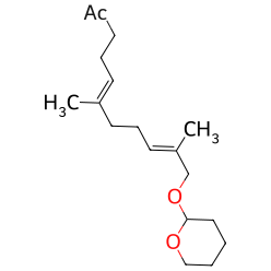 CC(=O)CCC=C(C)CCC=C(C)COC1CCCCO1